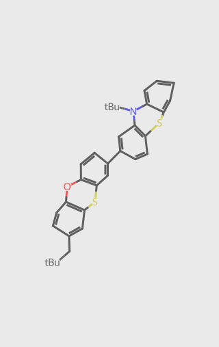 CC(C)(C)Cc1ccc2c(c1)Sc1cc(-c3ccc4c(c3)N(C(C)(C)C)c3ccccc3S4)ccc1O2